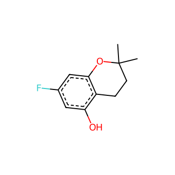 CC1(C)CCc2c(O)cc(F)cc2O1